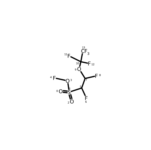 O=S(=O)(OF)C(F)C(F)OC(F)(F)C(F)(F)F